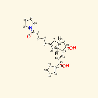 O=C(CCCC=C1C[C@H]2C[C@@H](O)[C@H](C=C[C@@H](O)C3CCCC3)[C@H]2C1)N1CCCC1